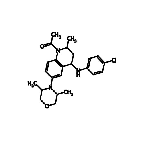 CC(=O)N1c2ccc(N3C(C)COCC3C)cc2C(Nc2ccc(Cl)cc2)CC1C